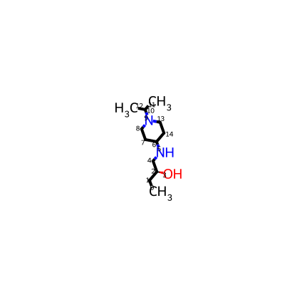 CC[C@H](O)CNC1CCN(C(C)C)CC1